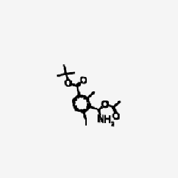 CC(=O)OC(N)c1c(I)ccc(C(=O)OC(C)(C)C)c1C